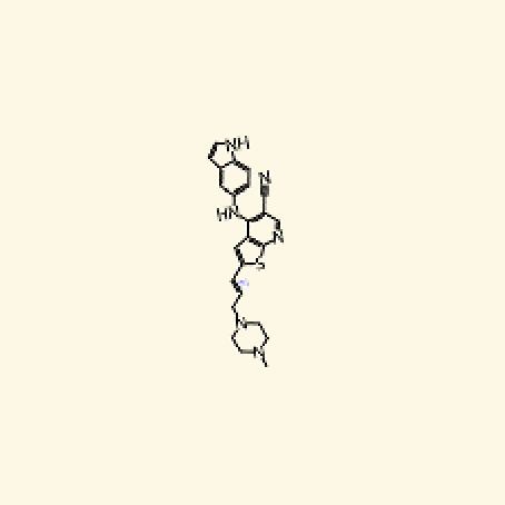 CN1CCN(C/C=C/c2cc3c(Nc4ccc5[nH]ccc5c4)c(C#N)cnc3s2)CC1